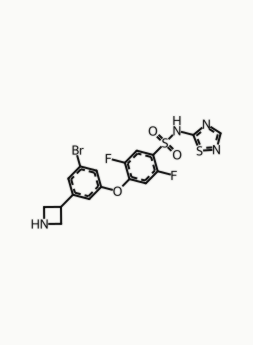 O=S(=O)(Nc1ncns1)c1cc(F)c(Oc2cc(Br)cc(C3CNC3)c2)cc1F